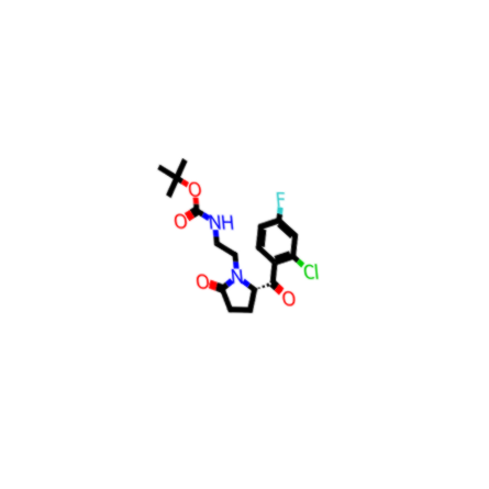 CC(C)(C)OC(=O)NCCN1C(=O)CC[C@H]1C(=O)c1ccc(F)cc1Cl